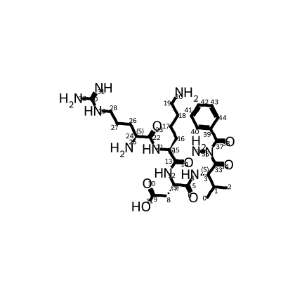 CC(C)[C@H](NC(=O)[C@H](CC(=O)O)NC(=O)[C@H](CCCCN)NC(=O)[C@@H](N)CCCNC(=N)N)C(=O)N(N)C(=O)c1ccccc1